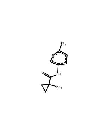 NC1(C(=O)Nc2ccc(C(F)(F)F)nc2)CC1